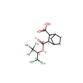 O=C(O)C1C2CCC(C2)C1C(=O)OC(C(F)F)C(F)(F)F